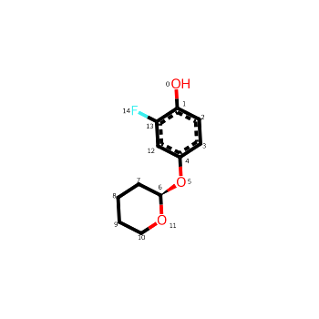 Oc1ccc(O[C@@H]2CCCCO2)cc1F